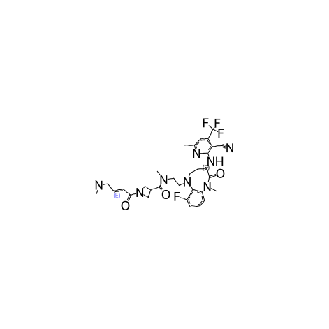 Cc1cc(C(F)(F)F)c(C#N)c(N[C@H]2CCN(CCN(C)C(=O)C3CN(C(=O)/C=C/CN(C)C)C3)c3c(F)cccc3N(C)C2=O)n1